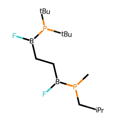 CC(C)CP(C)B(F)CCB(F)P(C(C)(C)C)C(C)(C)C